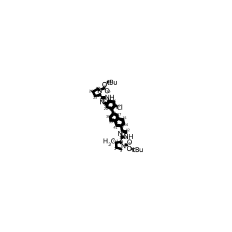 C[C@@H]1CCN(C(=O)OC(C)(C)C)[C@@H]1c1nc(-c2ccc3cc(-c4cc5nc([C@@H]6CCCN6C(=O)OC(C)(C)C)[nH]c5cc4Cl)ccc3c2)c[nH]1